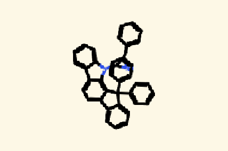 c1ccc(C2NC2n2c3ccccc3c3ccc4c(c32)C(c2ccccc2)(c2ccccc2)c2ccccc2-4)cc1